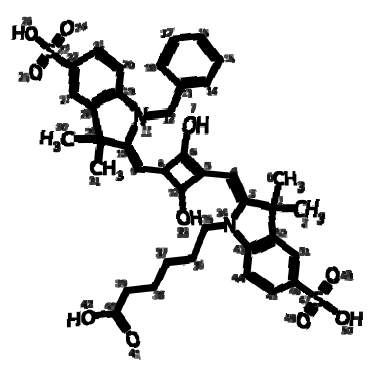 CC1(C)C(=CC2=C(O)C(C=C3N(Cc4ccccc4)c4ccc(S(=O)(=O)O)cc4C3(C)C)C2O)N(CCCCCC(=O)O)c2ccc(S(=O)(=O)O)cc21